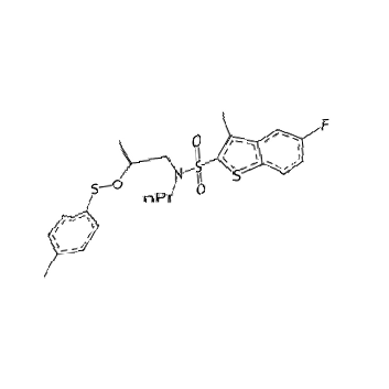 CCCN(CC(C)OSc1ccc(C)cc1)S(=O)(=O)c1sc2ccc(F)cc2c1C